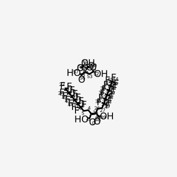 O=C(O)/C(CCC(F)(F)C(F)(F)C(F)(F)C(F)(F)C(F)(F)C(F)(F)F)=C(/CCC(F)(F)C(F)(F)C(F)(F)C(F)(F)C(F)(F)C(F)(F)F)C(=O)O.O=C(O)CC(C(=O)O)S(=O)(=O)O